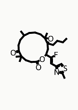 CCCCC12CC(C(F)=Cc3csc(C)n3)OC(=O)CCC(C)(C)C(=O)CCC(C)CCCC1(C)O2